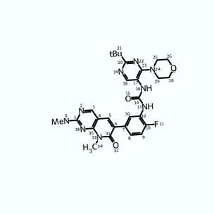 CNc1ncc2cc(-c3ccc(F)c(NC(=O)Nc4cnc(C(C)(C)C)nc4N4CCOCC4)c3)c(=O)n(C)c2n1